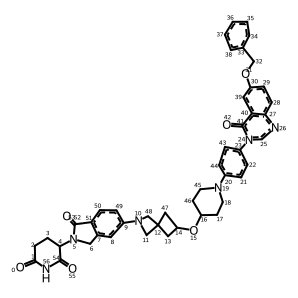 O=C1CCC(N2Cc3cc(N4CC5(CC(OC6CCN(c7ccc(-n8cnc9ccc(OCc%10ccccc%10)cc9c8=O)cc7)CC6)C5)C4)ccc3C2=O)C(=O)N1